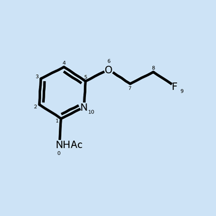 CC(=O)Nc1cccc(OCCF)n1